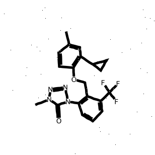 Cc1ccc(OCc2c(-n3nnn(C)c3=O)cccc2C(F)(F)F)c(C2CC2)c1